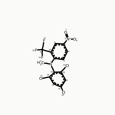 CN(c1ccc([N+](=O)[O-])cc1C(F)(F)F)c1c(Cl)cc(Cl)cc1Cl